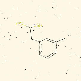 Cc1cccc(CC(S)S)c1